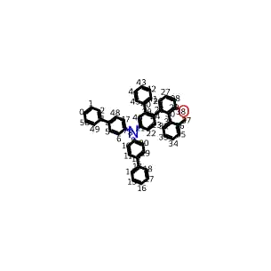 c1ccc(-c2ccc(N(c3ccc(-c4ccccc4)cc3)c3ccc(-c4cccc5c4-c4ccccc4CO5)c(-c4ccccc4)c3)cc2)cc1